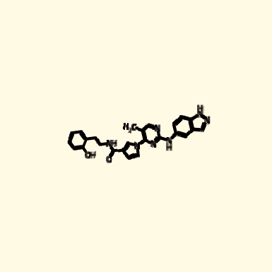 Cc1cnc(Nc2ccc3[nH]ncc3c2)nc1-n1ccc(C(=O)NCCc2ccccc2O)c1